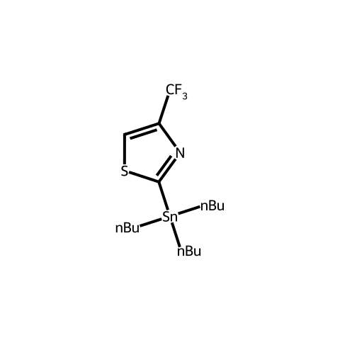 CCC[CH2][Sn]([CH2]CCC)([CH2]CCC)[c]1nc(C(F)(F)F)cs1